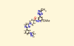 COc1cc(NC(=O)C2CCN(c3ccnc(-c4cccc(-n5cccn5)c4)n3)CC2)cc(-n2nnc(C)n2)c1